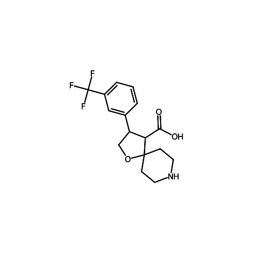 O=C(O)C1C(c2cccc(C(F)(F)F)c2)COC12CCNCC2